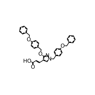 O=C(O)C=Cc1cn(Cc2ccc(OCc3ccccc3)cc2)nc1OCc1ccc(OCc2ccccc2)cc1